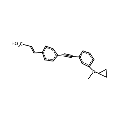 CN(c1cccc(C#Cc2ccc(C=CC(=O)O)cc2)c1)C1CC1